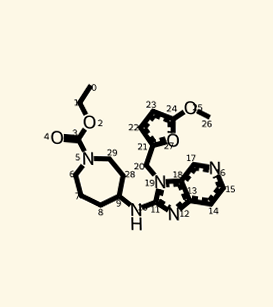 CCOC(=O)N1CCCC(Nc2nc3ccncc3n2Cc2ccc(OC)o2)CC1